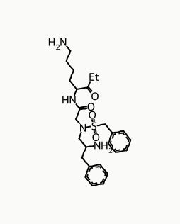 CCC(=O)C(CCCCN)NC(=O)CN(CC(N)Cc1ccccc1)S(=O)(=O)Cc1ccccc1